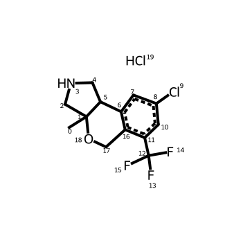 CC12CNCC1c1cc(Cl)cc(C(F)(F)F)c1CO2.Cl